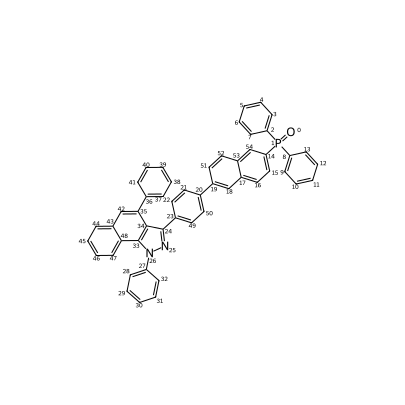 O=P(c1ccccc1)(c1ccccc1)c1ccc2cc(-c3ccc(-c4nn(-c5ccccc5)c5c4c(-c4ccccc4)cc4ccccc45)cc3)ccc2c1